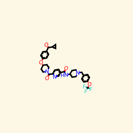 O=C(NC1CCN(Cc2ccc(OC(F)(F)F)cc2)CC1)c1ccc(C(=O)N2CCC(Oc3ccc(C(=O)C4CC4)cc3)CC2)nc1